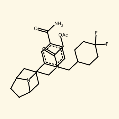 CC(=O)OCC(=O)N(CCN1C2CCC1CC(c1cccc(C(N)=O)c1)C2)CC1CCC(F)(F)CC1